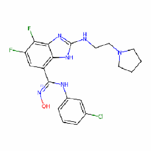 O/N=C(\Nc1cccc(Cl)c1)c1cc(F)c(F)c2nc(NCCN3CCCC3)[nH]c12